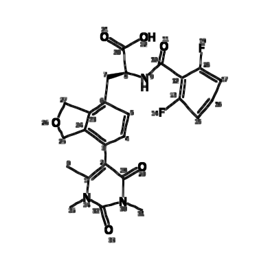 Cc1c(-c2ccc(C[C@H](NC(=O)c3c(F)cccc3F)C(=O)O)c3c2COC3)c(=O)n(C)c(=O)n1C